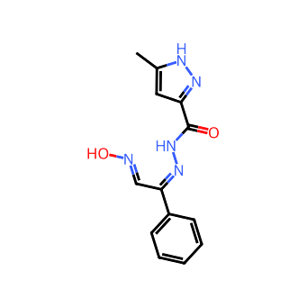 Cc1cc(C(=O)N/N=C(\C=N\O)c2ccccc2)n[nH]1